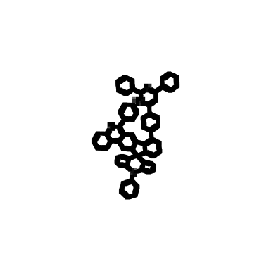 C1=C(c2ccc(-c3cccc4c3-c3cc5c(-c6ccccc6)nc6ccccc6c5cc3C43c4ccccc4N(c4ccccc4)c4ccccc43)cc2)NC(c2ccccc2)N=C1c1ccccc1